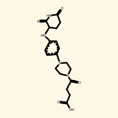 O=C(O)CCC(=O)N1CCN(c2ccc(NC3CCC(=O)NC3=O)cc2)CC1